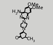 COc1cc2nc(N3CCN(C4=CC(=O)CC(C)C4)CC3)nc(N)c2cc1OC